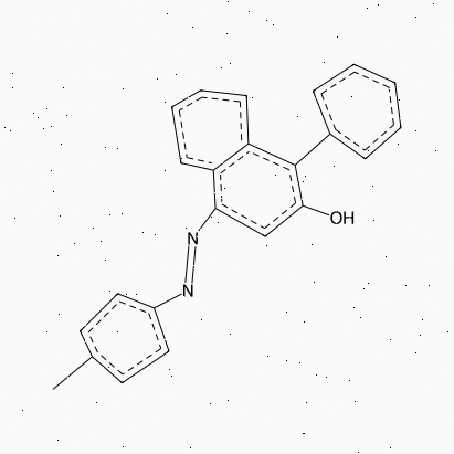 Cc1ccc(N=Nc2cc(O)c(-c3ccccc3)c3ccccc23)cc1